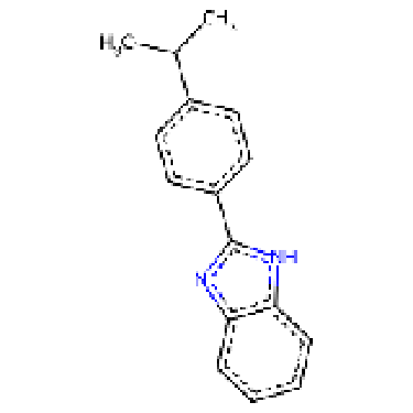 CC(C)c1ccc(-c2nc3ccccc3[nH]2)cc1